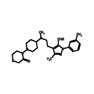 Cc1cccc(-n2nc(C(F)(F)F)c(CCN(C)C3CCN(N4CCOCC4=O)CC3)c2C=O)c1